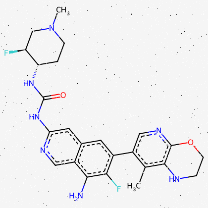 Cc1c(-c2cc3cc(NC(=O)N[C@H]4CCN(C)C[C@@H]4F)ncc3c(N)c2F)cnc2c1NCCO2